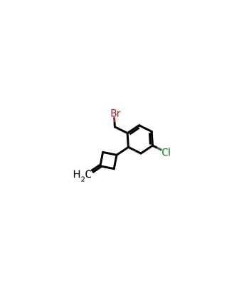 C=C1CC(C2CC(Cl)=CC=C2CBr)C1